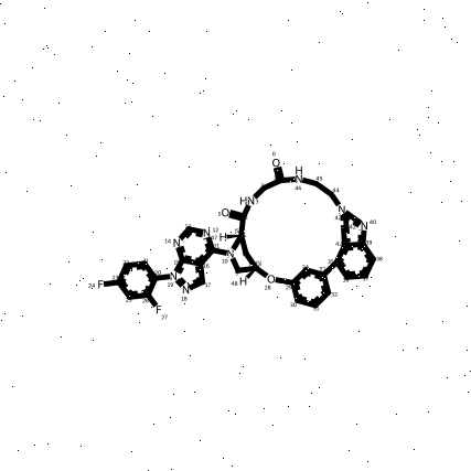 O=C1CNC(=O)[C@@H]2C[C@@H](CN2c2ncnc3c2cnn3-c2ccc(F)cc2F)Oc2cccc(c2)-c2cccc3nn(cc23)CCN1